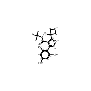 CC(C)(C)OC(=O)c1c(-c2c(Cl)cc(Cl)cc2Cl)noc1C1(F)COC1